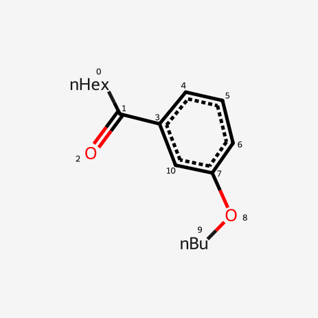 [CH2]CCCCCC(=O)c1cccc(OCCCC)c1